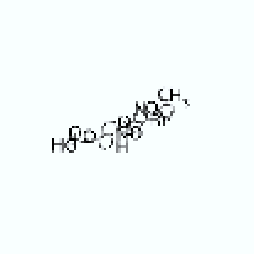 Cc1ccccc1Oc1ncc(S(=O)(=O)NC2CCCc3c(OCC(=O)O)cccc32)cc1Br